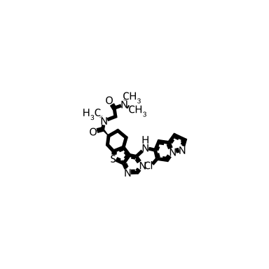 CN(C)C(=O)CN(C)C(=O)[C@H]1CCc2c(sc3ncnc(Nc4cc5ccnn5cc4Cl)c23)C1